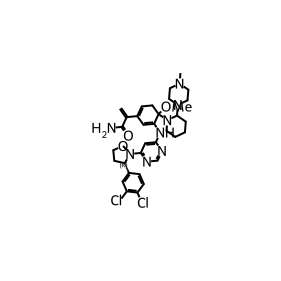 C=C(C(N)=O)C1=CCC(OC)(N2CCCCC2N2CCN(C)CC2)C(Nc2cc(N3OCC[C@@H]3c3ccc(Cl)c(Cl)c3)ncn2)=C1